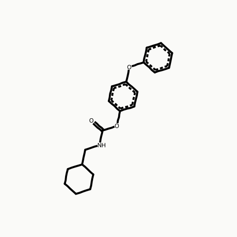 O=C(NCC1CCCCC1)Oc1ccc(Oc2ccccc2)cc1